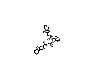 O=C(NCC(=O)N1CC2(C[C@H]1C(=O)NCc1cc3cnccc3[nH]1)OCCO2)c1ccc2c(c1)oc1ccccc12